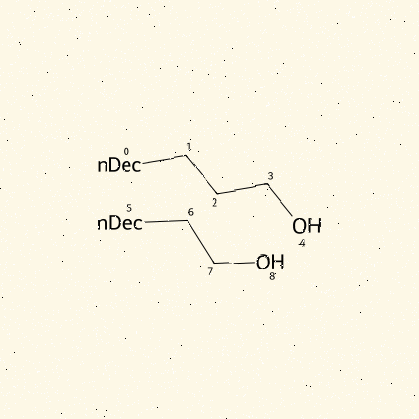 CCCCCCCCCCCCCO.CCCCCCCCCCCCO